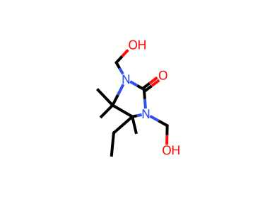 CCC1(C)N(CO)C(=O)N(CO)C1(C)C